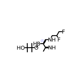 CC(=N)/C(BOC(C)(C)C(C)(C)O)=C\NCC(F)CF